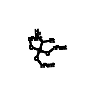 CCCCCO[Si](OCCCCC)(OCCCCC)C(N)CC